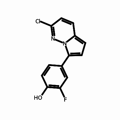 Oc1ccc(-c2ccc3ccc(Cl)nn23)cc1F